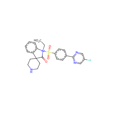 O=C(O)C[N+]1(S(=O)(=O)c2ccc(-c3ncc(F)cn3)cc2)C(=O)C2(CCNCC2)c2ccccc21